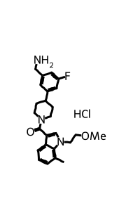 COCCn1cc(C(=O)N2CCC(c3cc(F)cc(CN)c3)CC2)c2cccc(C)c21.Cl